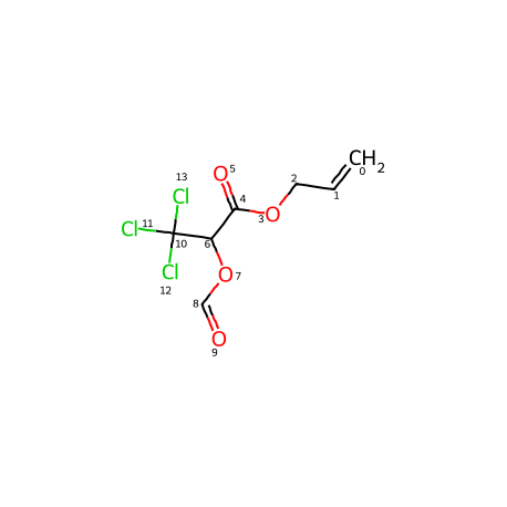 C=CCOC(=O)C(OC=O)C(Cl)(Cl)Cl